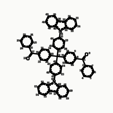 O=C(c1ccccc1)c1ccc(C(c2ccc(C(=O)c3ccccc3)cc2)(c2ccc(-n3c4ccccc4c4ccccc43)cc2)c2ccc(-n3c4ccccc4c4ccccc43)cc2)cc1